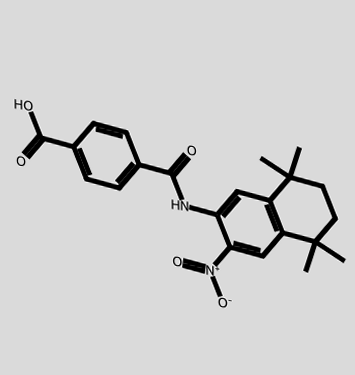 CC1(C)CCC(C)(C)c2cc([N+](=O)[O-])c(NC(=O)c3ccc(C(=O)O)cc3)cc21